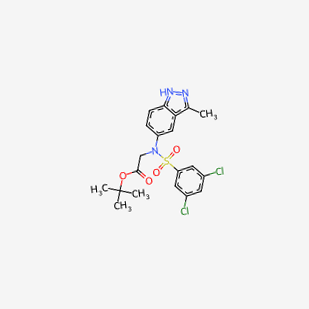 Cc1n[nH]c2ccc(N(CC(=O)OC(C)(C)C)S(=O)(=O)c3cc(Cl)cc(Cl)c3)cc12